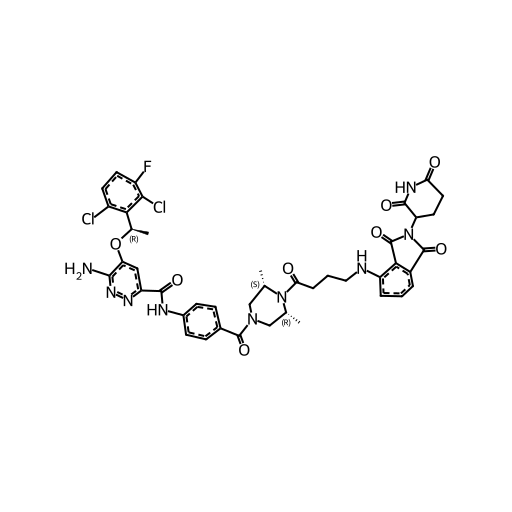 C[C@@H]1CN(C(=O)c2ccc(NC(=O)c3cc(O[C@H](C)c4c(Cl)ccc(F)c4Cl)c(N)nn3)cc2)C[C@H](C)N1C(=O)CCCNc1cccc2c1C(=O)N(C1CCC(=O)NC1=O)C2=O